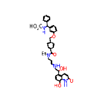 CCN(CCCNC[C@@H](O)c1ccc(O)c2[nH]c(=O)ccc12)C(=O)c1ccc(COc2cccc(C(NC(=O)O)c3ccccc3)c2)cc1